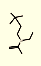 C=C(C)N(CC)CCC(C)(C)C